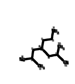 CC(C#N)CN(CCN)CC(C)C#N